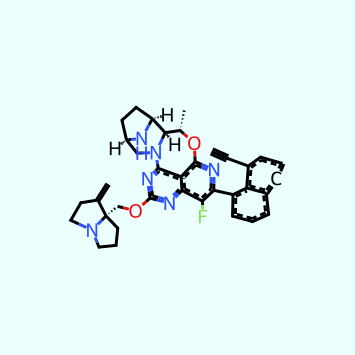 C#Cc1cccc2cccc(-c3nc4c5c(nc(OC[C@]67CCCN6CCC7=C)nc5c3F)N3C[C@H]5CC[C@H](N5)[C@H]3[C@H](C)O4)c12